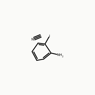 C#N.Nc1ccccc1I